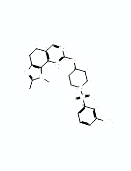 Cc1nc2c(n1C)-c1nc(NC3CCN(S(=O)(=O)c4cccc(C#N)c4)CC3)ncc1CC2